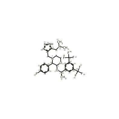 C[C@@H](OC1OCCN(Cc2nn[nH]c2CN(C)C)C1c1ccc(F)cc1)c1cc(C(F)(F)F)cc(C(F)(F)F)c1